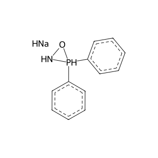 [NaH].c1ccc([PH]2(c3ccccc3)NO2)cc1